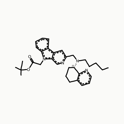 CCCCCN(Cc1cc2c3ccccc3n(CC(=O)OC(C)(C)C)c2cn1)[C@H]1CCCc2cccnc21